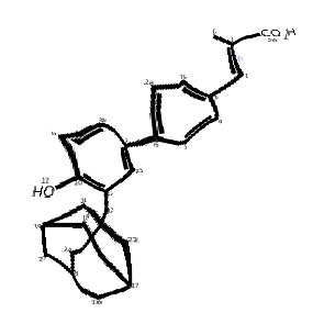 C/C(=C\c1ccc(-c2ccc(O)c(C34CC5CC(CC(C5)C3)C4)c2)cc1)C(=O)O